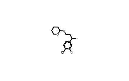 [CH2]C(CCOC1CCCCO1)c1ccc(Cl)c(Cl)c1